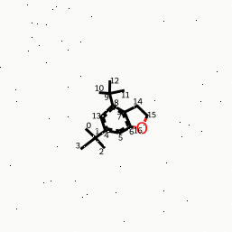 CC(C)(C)c1cc2c(c(C(C)(C)C)c1)CCO2